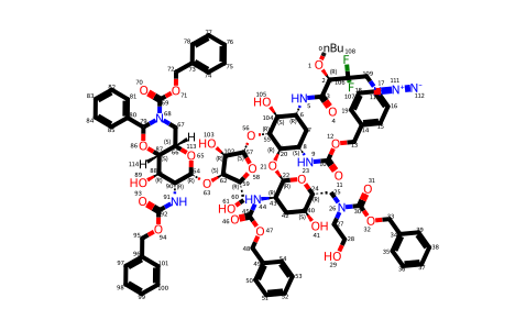 CCCCO[C@H](C(=O)N[C@@H]1C[C@H](NC(=O)OCc2ccccc2)[C@@H](O[C@H]2O[C@H](CN(CCO)C(=O)OCc3ccccc3)[C@@H](O)C[C@H]2NC(=O)OCc2ccccc2)[C@H](O[C@@H]2O[C@H](CO)[C@@H](O[C@H]3O[C@H]4CN(C(=O)OCc5ccccc5)C(c5ccccc5)O[C@H]4[C@H](O)[C@H]3NC(=O)OCc3ccccc3)[C@H]2O)[C@H]1O)C(F)(F)CN=[N+]=[N-]